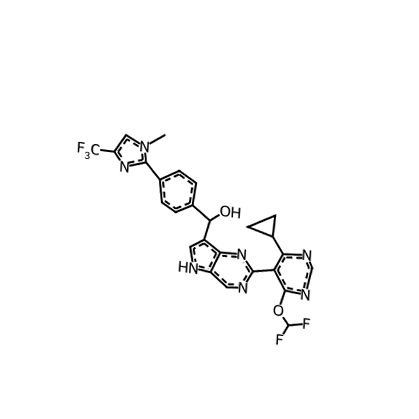 Cn1cc(C(F)(F)F)nc1-c1ccc(C(O)c2c[nH]c3cnc(-c4c(OC(F)F)ncnc4C4CC4)nc23)cc1